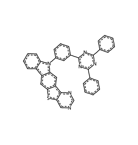 c1ccc(-c2nc(-c3ccccc3)nc(-c3cccc(-n4c5ccccc5c5cc6sc7cncnc7c6cc54)c3)n2)cc1